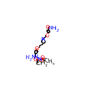 CCC(=O)ON=C(CC)ON=C(N)c1ccc(OCCCC2CCN(CCCOc3ccc(C(N)=O)cc3)CC2)cc1